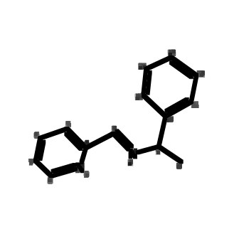 CC(N=Cc1ccccn1)c1ccccc1